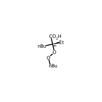 CCCCOO[C@](CC)(CCCC)C(=O)O